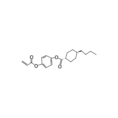 C=CC(=O)Oc1ccc(OC(=O)[C@H]2CC[C@H](CCCC)CC2)cc1